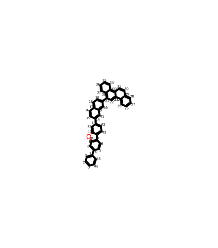 c1ccc(-c2ccc3c(c2)oc2cc(-c4ccc5ccc(-c6cc7c8ccccc8ccc7c7ccccc67)cc5c4)ccc23)cc1